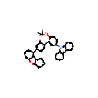 CC1(C)Oc2cc(-c3cccc4oc5ccccc5c34)ccc2-c2cc(-n3c4ccccc4c4ccccc43)ccc2O1